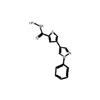 CCCNC(=O)c1cc(-c2cnn(-c3ccccc3)c2)cs1